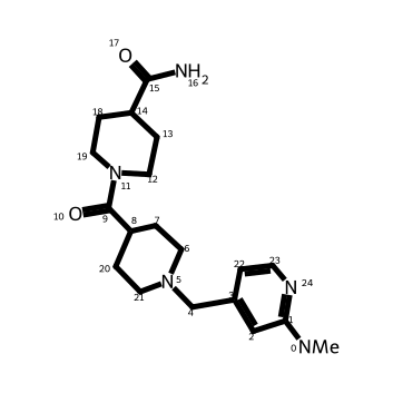 CNc1cc(CN2CCC(C(=O)N3CCC(C(N)=O)CC3)CC2)ccn1